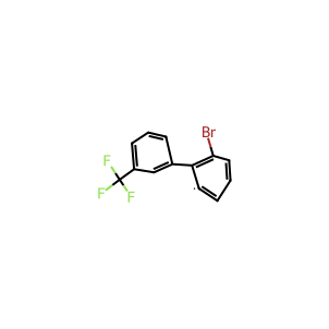 FC(F)(F)c1cccc(-c2[c]cccc2Br)c1